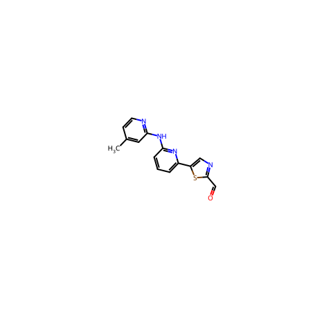 Cc1ccnc(Nc2cccc(-c3cnc(C=O)s3)n2)c1